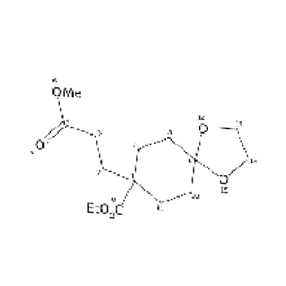 CCOC(=O)C1(CCC(=O)OC)CCC2(CC1)OCCO2